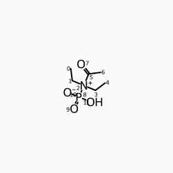 CC[N+](CC)(C(C)=O)P(=O)([O-])O